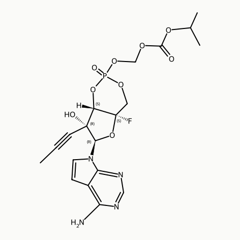 CC#C[C@]1(O)[C@H](n2ccc3c(N)ncnc32)O[C@]2(F)COP(=O)(OCOC(=O)OC(C)C)O[C@@H]12